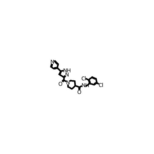 O=C(NCc1cc(Cl)ccc1Cl)C1CCN(C(=O)c2cc(-c3ccncc3)[nH]n2)CC1